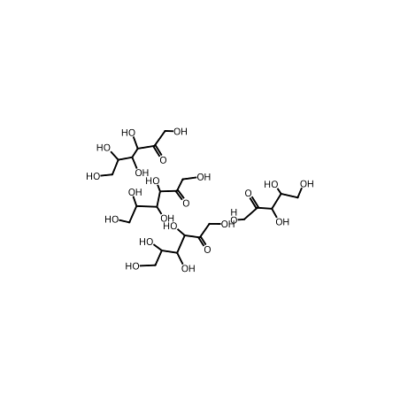 O=C(CO)C(O)C(O)C(O)CO.O=C(CO)C(O)C(O)C(O)CO.O=C(CO)C(O)C(O)C(O)CO.O=C(CO)C(O)C(O)CO